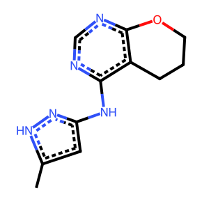 Cc1cc(Nc2ncnc3c2CCCO3)n[nH]1